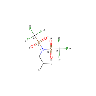 CC(C)CN(S(=O)(=O)C(F)(F)F)S(=O)(=O)C(F)(F)F